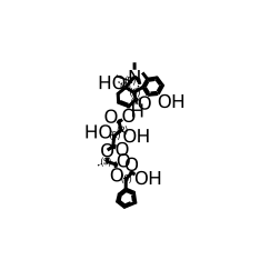 Cc1ccc(O)c2c1[C@]13CCN(C)[C@H](C)[C@]1(O)CC=C(OC(=O)[C@H](O)[C@@H](O)C(=O)O[C@@H](C)C(=O)O[C@H](C(=O)O)c1ccccc1)[C@@H]3O2